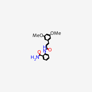 COc1cc(C=CC(=O)Nc2ccccc2C(N)=O)cc(OC)c1